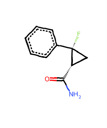 NC(=O)[C@H]1C[C@]1(F)c1ccccc1